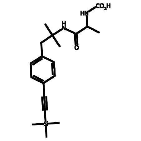 CC(NC(=O)O)C(=O)NC(C)(C)Cc1ccc(C#C[Si](C)(C)C)cc1